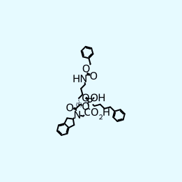 O=C(O)CN(C(=O)[C@H](CCCCNC(=O)OCc1ccccc1)OP(=O)(O)CCCCc1ccccc1)C1Cc2ccccc2C1